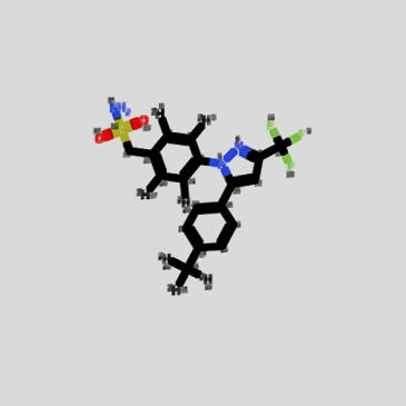 [2H]c1c([2H])c(-n2nc(C(F)(F)F)cc2-c2ccc(C([2H])([2H])[2H])cc2)c([2H])c([2H])c1CS(N)(=O)=O